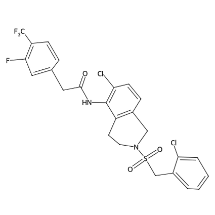 O=C(Cc1ccc(C(F)(F)F)c(F)c1)Nc1c(Cl)ccc2c1CCN(S(=O)(=O)Cc1ccccc1Cl)C2